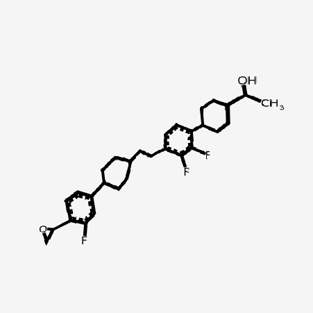 CC(O)C1CCC(c2ccc(CCC3CCC(c4ccc(C5CO5)c(F)c4)CC3)c(F)c2F)CC1